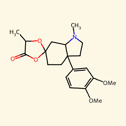 COc1ccc(C23CCN(C)C2CC2(CC3)OC(=O)C(C)O2)cc1OC